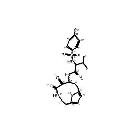 CC(C)C(NS(=O)(=O)c1ccc(F)cc1)C(=O)NC1Cc2ccc(s2)CCNC(=O)C1=O